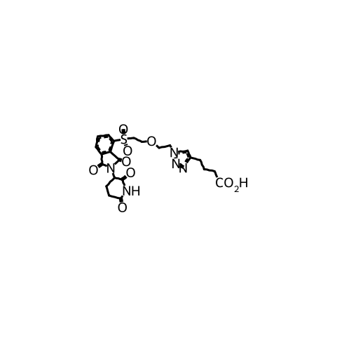 O=C(O)CCCc1cn(CCOCCS(=O)(=O)c2cccc3c2C(=O)N(C2CCC(=O)NC2=O)C3=O)nn1